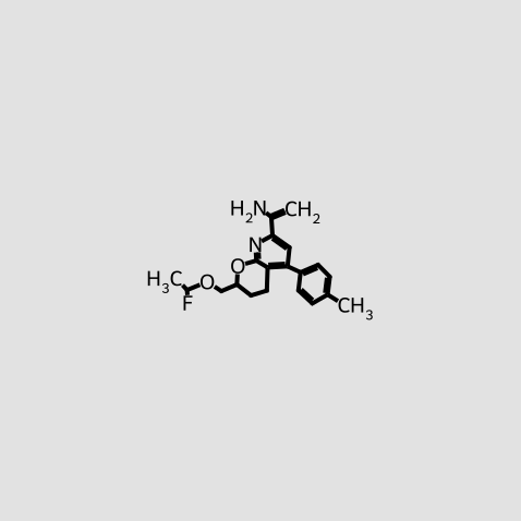 C=C(N)c1cc(-c2ccc(C)cc2)c2c(n1)OC(COC(C)F)CC2